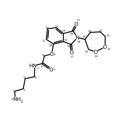 NCCCCNC(=O)COc1cccc2c1C(=O)N(C1CCCOOC1)C2=O